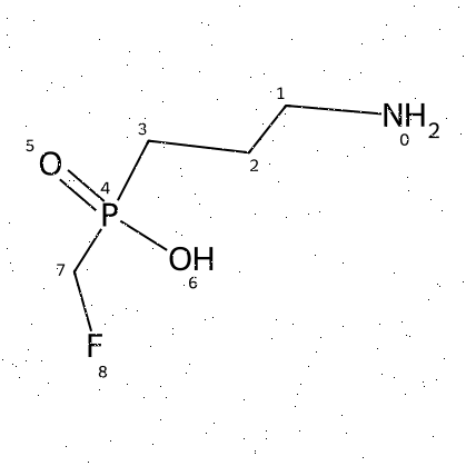 NCCCP(=O)(O)CF